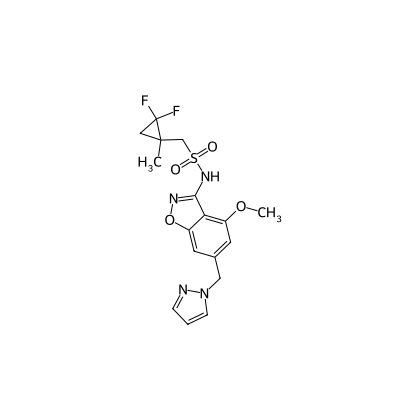 COc1cc(Cn2cccn2)cc2onc(NS(=O)(=O)CC3(C)CC3(F)F)c12